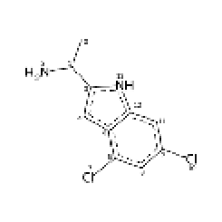 CC(N)c1cc2c(Cl)cc(Cl)cc2[nH]1